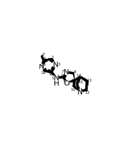 Cc1cnc(NC2=NC[C@@]3(CN4CCC3CC4)O2)cn1